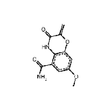 C=C1Oc2cc(OC)cc(C(N)=O)c2NC1=O